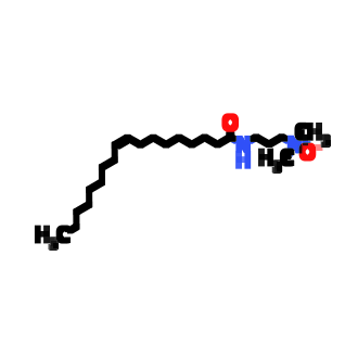 CCCCCCCC/C=C\CCCCCCCC(=O)NCCC[N+](C)(C)[O-]